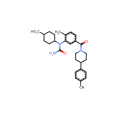 Cc1ccc(C(=O)N2CCC(c3ccc(C#N)cc3)CC2)cc1N(C(N)=O)C1CCC(C(=O)O)CC1